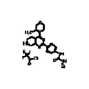 CCNC(=O)Nc1ccc(-c2nc3c(c(N4CCOCC4C)n2)CCNC3)cc1.O=C(O)C(F)(F)F